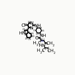 C=CC(=C)NC(=C)/C=C(\C)C(=O)N[C@H]1CC[C@H](Nc2ncc(Cl)c(-c3c[nH]c4ccccc34)n2)CC1